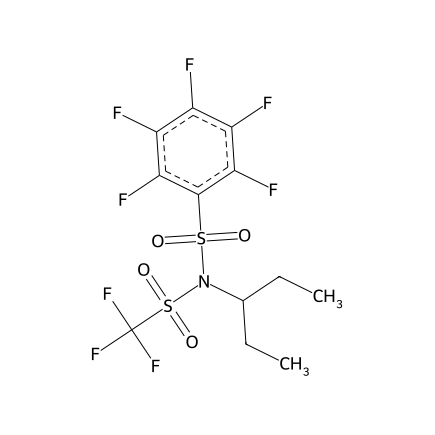 CCC(CC)N(S(=O)(=O)c1c(F)c(F)c(F)c(F)c1F)S(=O)(=O)C(F)(F)F